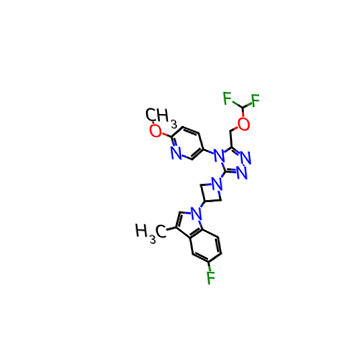 COc1ccc(-n2c(COC(F)F)nnc2N2CC(n3cc(C)c4cc(F)ccc43)C2)cn1